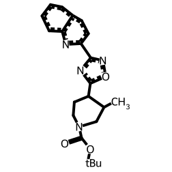 CC1CN(C(=O)OC(C)(C)C)CCC1c1nc(-c2ccc3ccccc3n2)no1